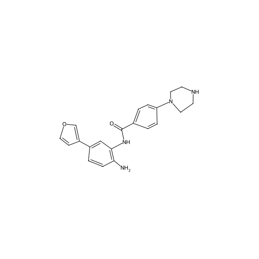 Nc1ccc(-c2ccoc2)cc1NC(=O)c1ccc(N2CCNCC2)cc1